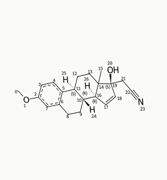 COc1ccc2c(c1)CC[C@@H]1[C@@H]2CCC2(C)[C@H]1C=C[C@@]2(O)CC#N